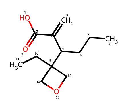 C=C(C(=O)O)C(CCC)C1(CC)COC1